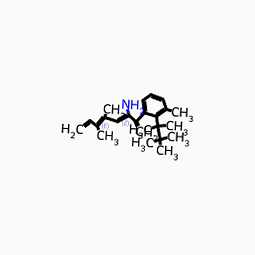 C=C/C(C)=C(C)/C=C(\N)C(=C)c1cccc(C)c1C(C)(C)C(C)(C)C